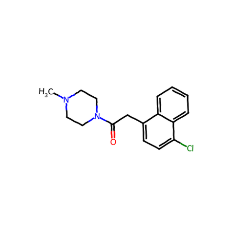 CN1CCN(C(=O)Cc2ccc(Cl)c3ccccc23)CC1